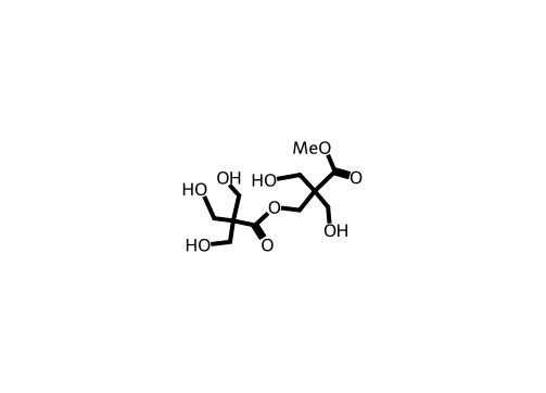 COC(=O)C(CO)(CO)COC(=O)C(CO)(CO)CO